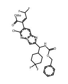 COC(=O)C(=CC(F)F)c1cc2nc(C(NC(=O)OCc3ccccc3)C3CCC(F)(F)CC3)cn2nc1Cl